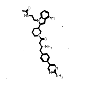 CC(=O)NCCn1c(C2CCCN(C(=O)C[C@H](N)Cc3ccc(-c4cnc(N)nc4)cc3)C2)cc2c(Cl)cccc21